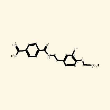 N=C(N)c1ccc(C(=O)NCCc2ccc(OCC(=O)O)c(I)c2)cc1